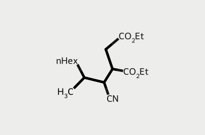 CCCCCCC(C)C(C#N)C(CC(=O)OCC)C(=O)OCC